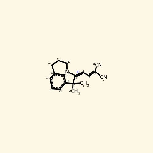 CC1(C)/C(=C\C=C(C#N)C#N)N2CCCc3cccc1c32